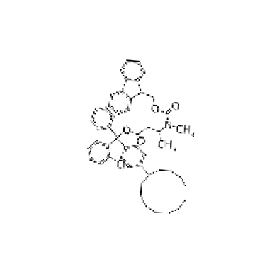 C[C@H](CC(=O)OC(c1ccccc1)(c1ccc(C2CCCCCCCCCCC2)cc1)c1ccccc1Cl)N(C)C(=O)OCC1c2ccccc2-c2ccccc21